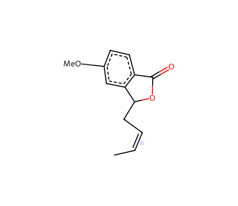 C/C=C\CC1OC(=O)c2ccc(OC)cc21